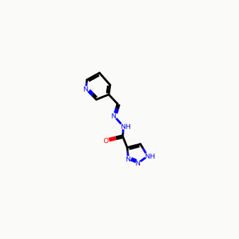 O=C(NN=Cc1cccnc1)c1c[nH]nn1